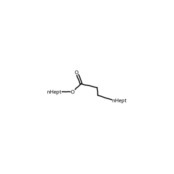 CCCCCCCCCC(=O)OCCCCCCC